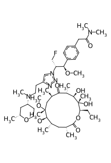 CC[C@H]1OC(=O)[C@H](C)C[C@H](C)[C@@H](O[C@H]2C[C@@H](N(C)CCc3cn([C@H](CF)[C@H](OC)c4ccc(CC(=O)N(C)C)cc4)nn3)C[C@@H](C)O2)[C@](C)(OC)C[C@@H](C)C(=O)[C@H](C)[C@@H](O)[C@]1(C)O